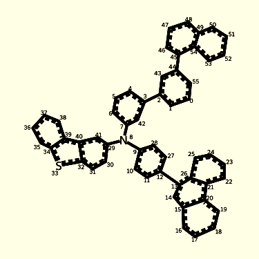 c1cc(-c2cccc(N(c3ccc(-c4cc5ccccc5c5ccccc45)cc3)c3ccc4sc5ccccc5c4c3)c2)cc(-c2cccc3ccccc23)c1